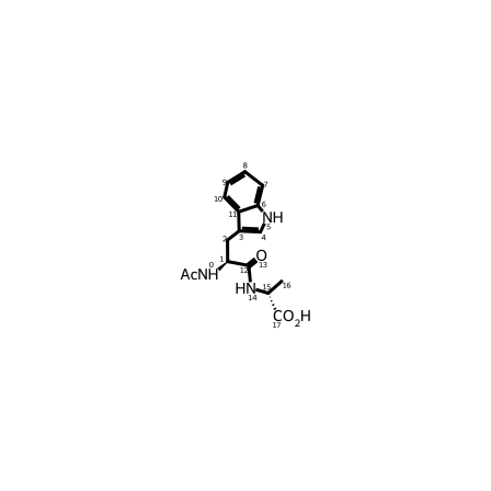 CC(=O)N[C@@H](Cc1c[nH]c2ccccc12)C(=O)N[C@H](C)C(=O)O